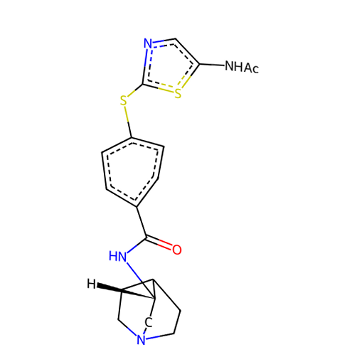 CC(=O)Nc1cnc(Sc2ccc(C(=O)N[C@H]3CN4CCC3CC4)cc2)s1